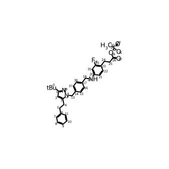 CC(C)(C)c1cc(CCc2ccccc2)n(Cc2ccc(CNc3ccc(CCC(=O)OS(C)(=O)=O)c(F)c3)cc2)n1